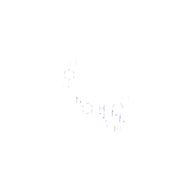 CCC1N=C2C=C(Cl)C=CN2C1C(=O)NCc1ccc(N2CCC(Oc3ccc(Cl)cc3)CC2)cc1